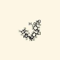 CC1(N2CC[C@@H](c3cc4c(cnn4-c4cnn(C56CCC5CC6)c4)cc3Cl)[C@H](F)C2)COC1